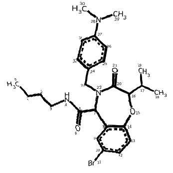 CCCCNC(=O)C1c2cc(Br)ccc2OC(C(C)C)C(=O)N1Cc1ccc(N(C)C)cc1